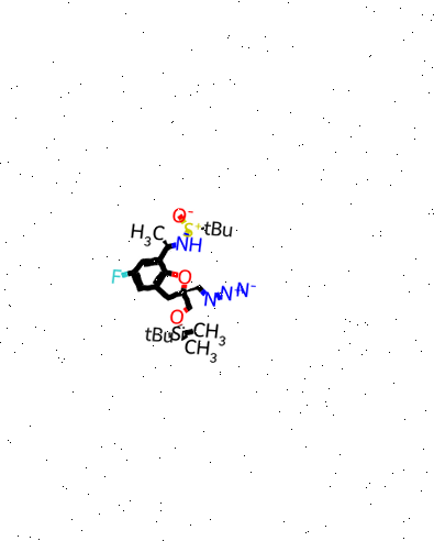 C[C@@H](N[S@+]([O-])C(C)(C)C)c1cc(F)cc2c1O[C@](CN=[N+]=[N-])(CO[Si](C)(C)C(C)(C)C)C2